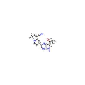 CC(C)(C)/C=C(/C#N)c1cc(-c2cnc3[nH]cc(C(=O)C(C)(C)C)c3n2)ccn1